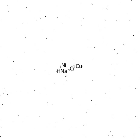 [Cr].[Cu].[NaH].[Ni]